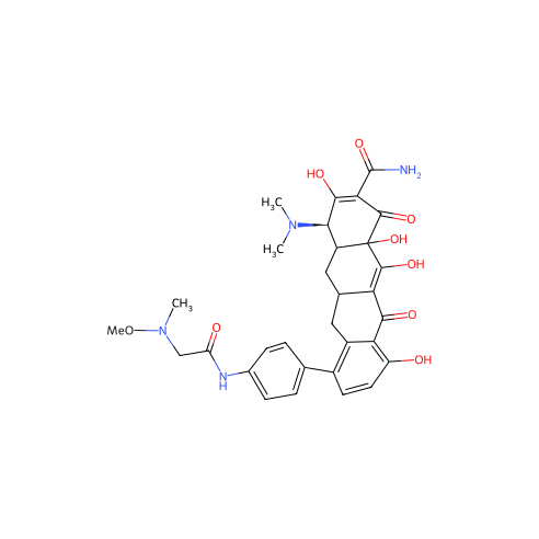 CON(C)CC(=O)Nc1ccc(-c2ccc(O)c3c2CC2CC4[C@@H](N(C)C)C(O)=C(C(N)=O)C(=O)C4(O)C(O)=C2C3=O)cc1